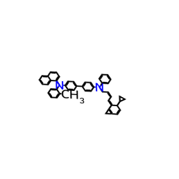 Cc1ccccc1N(c1ccc(-c2ccc(N(C/C=C\C=C3\C4=C(C=CC3C3CC3)C4)c3ccccc3)cc2)cc1)c1cccc2ccccc12